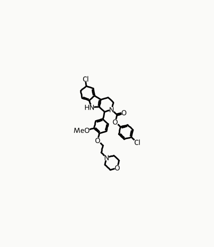 COc1cc(C2c3[nH]c4c(c3CCN2C(=O)Oc2ccc(Cl)cc2)=CC(Cl)CC=4)ccc1OCCN1CCOCC1